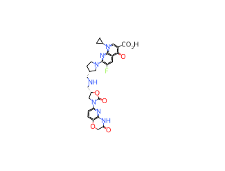 O=C1COc2ccc(N3C[C@H](CNC[C@@H]4CCN(c5nc6c(cc5F)c(=O)c(C(=O)O)cn6C5CC5)C4)OC3=O)nc2N1